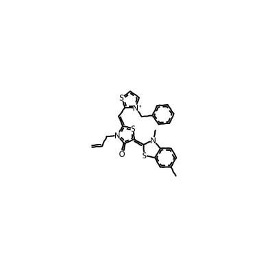 C=CCn1c(=O)/c(=C2\Sc3cc(C)ccc3N2C)s/c1=C\c1scc[n+]1Cc1ccccc1